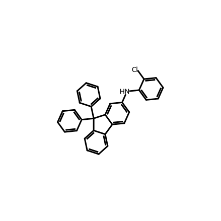 Clc1ccccc1Nc1ccc2c(c1)C(c1ccccc1)(c1ccccc1)c1ccccc1-2